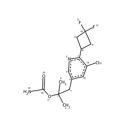 CC(C)(Cc1cnc(C2CC(F)(F)C2)c(Cl)c1)OC(N)=O